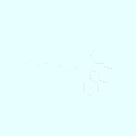 CCCCCCCCCP(O)(c1ccccc1)(N(CC)CC)N(CC)CC